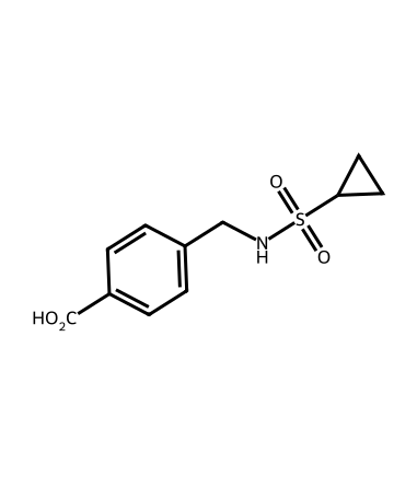 O=C(O)c1ccc(CNS(=O)(=O)C2CC2)cc1